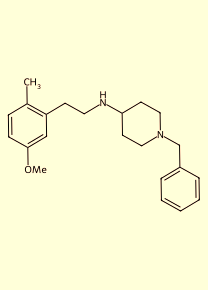 COc1ccc(C)c(CCNC2CCN(Cc3ccccc3)CC2)c1